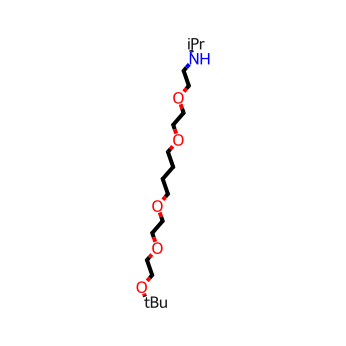 CC(C)NCCOCCOCCCCOCCOCCOC(C)(C)C